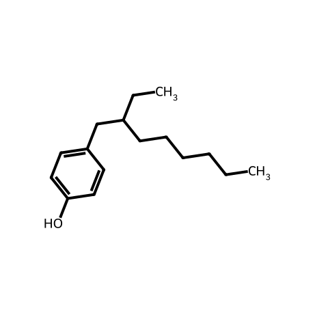 CCCCCCC(CC)Cc1ccc(O)cc1